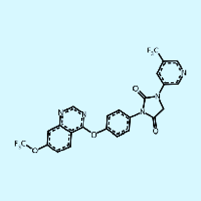 O=C1CN(c2cncc(C(F)(F)F)c2)C(=O)N1c1ccc(Oc2ncnc3cc(OC(F)(F)F)ccc23)cc1